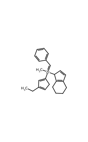 CCC1=CC[C]([Zr]([CH3])(=[CH]c2ccccc2)[CH]2C=CC3=C2CCCC3)=C1